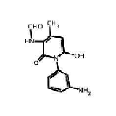 Cc1cc(O)n(-c2cccc(N)c2)c(=O)c1NC=O